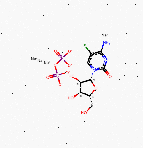 Nc1nc(=O)n([C@@H]2O[C@H](CO)[C@@H](O)[C@H]2O)cc1F.O=P([O-])([O-])OP(=O)([O-])[O-].[Na+].[Na+].[Na+].[Na+]